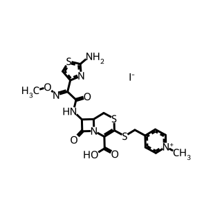 CON=C(C(=O)NC1C(=O)N2C(C(=O)O)=C(SCc3cc[n+](C)cc3)SCC12)c1csc(N)n1.[I-]